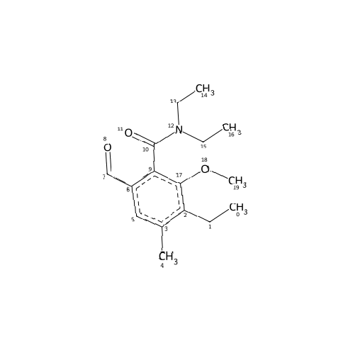 CCc1c(C)cc(C=O)c(C(=O)N(CC)CC)c1OC